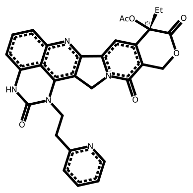 CC[C@@]1(OC(C)=O)C(=O)OCc2c1cc1n(c2=O)Cc2c-1nc1cccc3c1c2N(CCc1ccccn1)C(=O)N3